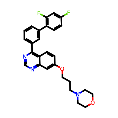 Fc1ccc(-c2cccc(-c3ncnc4cc(OCCCN5CCOCC5)ccc34)c2)c(F)c1